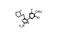 CCc1cc(-c2nc(N)sc2CN2CCC[C@H]2C)cc(F)c1OC